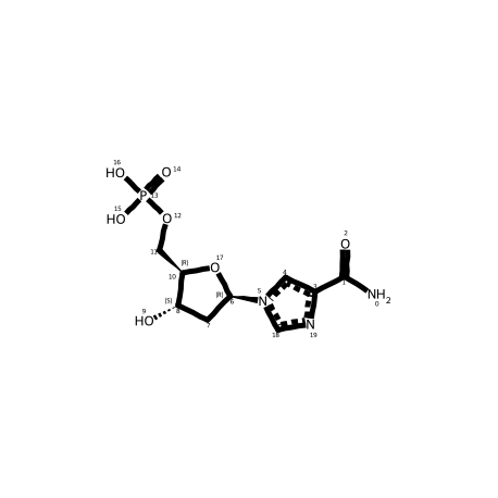 NC(=O)c1cn([C@H]2C[C@H](O)[C@@H](COP(=O)(O)O)O2)cn1